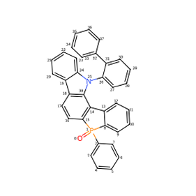 O=P1(c2ccccc2)c2ccccc2-c2c1ccc1c3ccccc3n(-c3ccccc3-c3ccccc3)c21